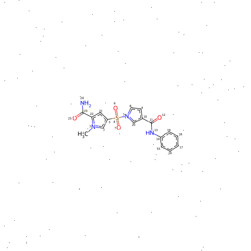 Cn1cc(S(=O)(=O)n2ccc(C(=O)Nc3ccccc3)c2)cc1C(N)=O